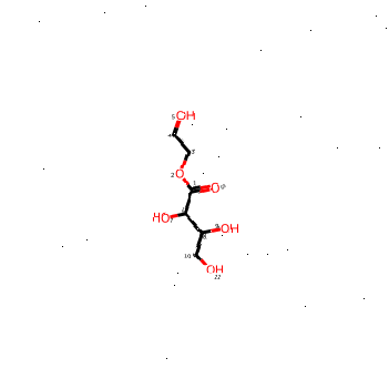 O=C(OCCO)C(O)C(O)CO